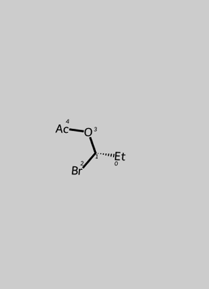 CC[C@H](Br)OC(C)=O